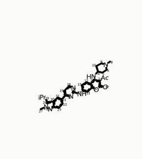 CC(=O)c1c(NC2CCN(C)CC2)c2ccc(Nc3nccc(-c4ccc5nn(C)c(C(C)C)c5c4)n3)cc2oc1=O